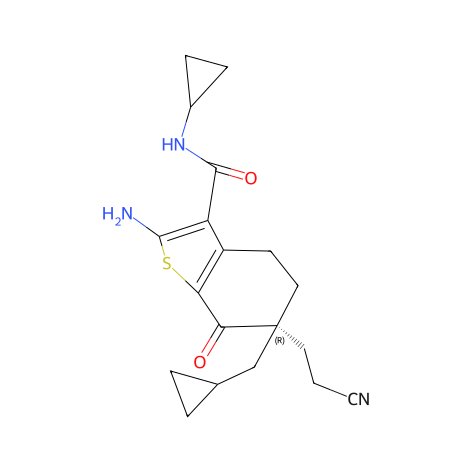 N#CCC[C@@]1(CC2CC2)CCc2c(sc(N)c2C(=O)NC2CC2)C1=O